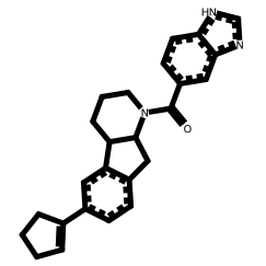 O=C(c1ccc2[nH]cnc2c1)N1CCCC2c3cc(C4=CCCC4)ccc3CC21